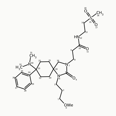 COCCCN1C(=O)N(CCC(=O)NCCS(C)(=O)=O)CC12CCC(c1ccccc1)(N(C)C)CC2